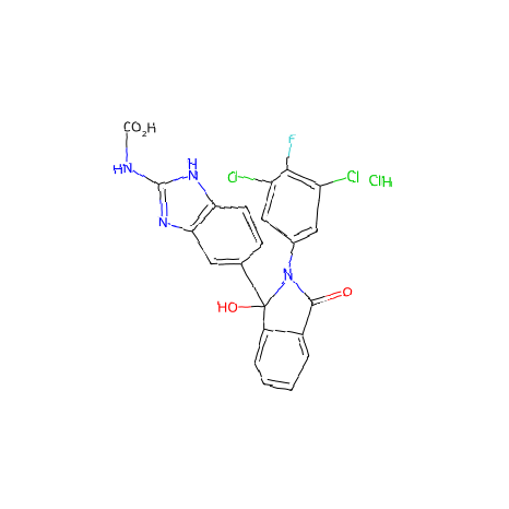 Cl.O=C(O)Nc1nc2cc(C3(O)c4ccccc4C(=O)N3c3cc(Cl)c(F)c(Cl)c3)ccc2[nH]1